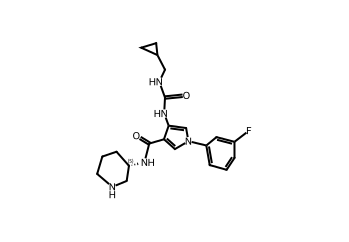 O=C(NCC1CC1)Nc1cn(-c2cccc(F)c2)cc1C(=O)N[C@H]1CCCNC1